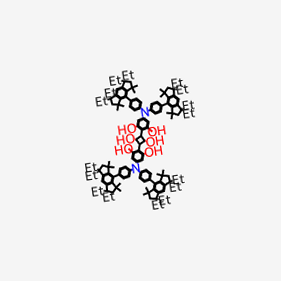 CCC1(CC)CC(C)(C)c2c1cc1c(c2-c2ccc(N(c3ccc(-c4c5c(cc6c4C(C)(C)CC6(CC)CC)C(CC)(CC)CC5(C)C)cc3)c3cc(O)c(C4C(O)C(c5c(O)cc(N(c6ccc(-c7c8c(cc9c7C(C)(C)CC9(CC)CC)C(CC)(CC)CC8(C)C)cc6)c6ccc(-c7c8c(cc9c7C(C)(C)CC9(CC)CC)C(CC)(CC)CC8(C)C)cc6)cc5O)C4O)c(O)c3)cc2)C(C)(C)CC1(CC)CC